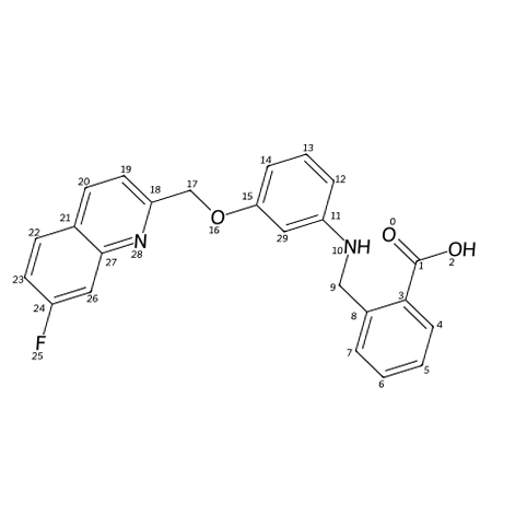 O=C(O)c1ccccc1CNc1cccc(OCc2ccc3ccc(F)cc3n2)c1